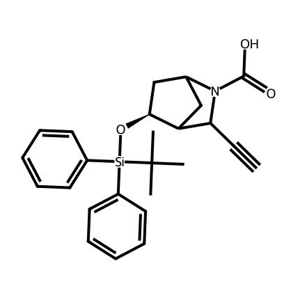 C#CC1C2CC(C[C@@H]2O[Si](c2ccccc2)(c2ccccc2)C(C)(C)C)N1C(=O)O